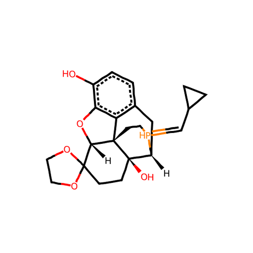 Oc1ccc2c3c1O[C@H]1C4(CC[C@@]5(O)[C@@H](C2)/[PH](=C/C2CC2)CC[C@]315)OCCO4